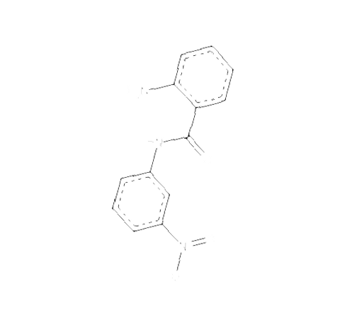 Nc1ccccc1C(=O)Nc1cccc([N+](=O)[O-])c1